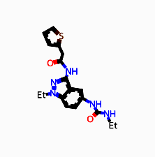 CCNC(=O)Nc1ccc2c(c1)c(NC(=O)Cc1cccs1)nn2CC